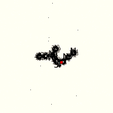 C[Si]1(C)c2ccc(-c3ccc(-c4cccnc4)cn3)cc2-c2cc(-c3nc(-c4ccccc4)nc(-c4ccc(-c5ccccc5)cc4)n3)ccc21